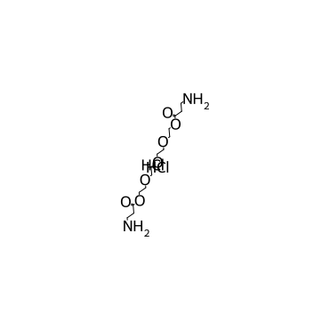 Cl.Cl.NCCC(=O)OCCOCCOCCOCCOC(=O)CCN